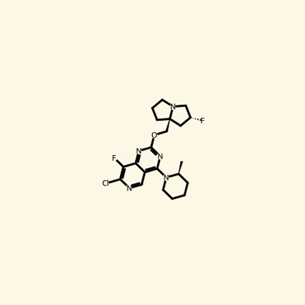 C[C@H]1CCCCN1c1nc(OC[C@@]23CCCN2C[C@H](F)C3)nc2c(F)c(Cl)ncc12